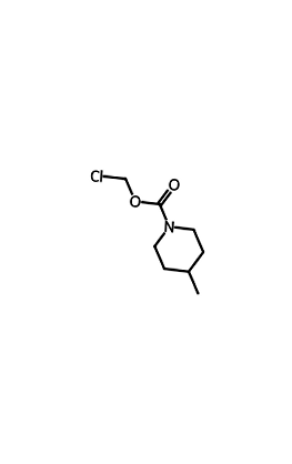 CC1CCN(C(=O)OCCl)CC1